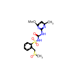 COc1cc(C)nc(NC(=O)NS(=O)(=O)c2ccccc2C[S+](C)[O-])n1